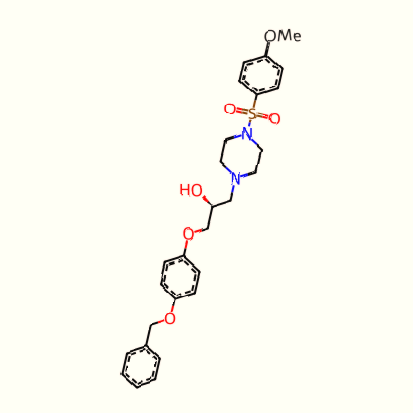 COc1ccc(S(=O)(=O)N2CCN(C[C@H](O)COc3ccc(OCc4ccccc4)cc3)CC2)cc1